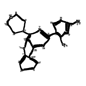 Nc1cc(C(F)(F)F)c(-c2nc(N3CCOCC3)c3oc4ccccc4c3n2)cn1